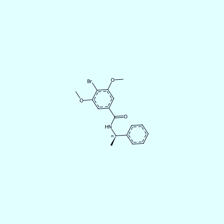 COc1cc(C(=O)N[C@H](C)c2ccccc2)cc(OC)c1Br